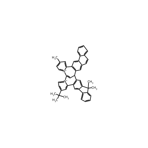 Cc1cc[n+]2c(c1)-c1cc3c(ccc4ccccc43)cc1C1C=C2[n+]2ccc(C(C)(C)C)cc2-c2cc3c(cc21)C(C)(C)c1ccccc1-3